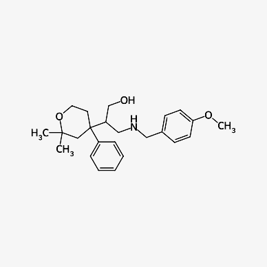 COc1ccc(CNCC(CO)C2(c3ccccc3)CCOC(C)(C)C2)cc1